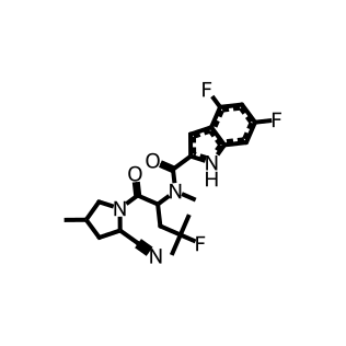 CC1CC(C#N)N(C(=O)C(CC(C)(C)F)N(C)C(=O)c2cc3c(F)cc(F)cc3[nH]2)C1